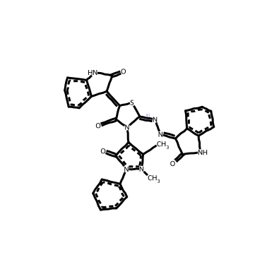 Cc1c(N2C(=O)C(=C3C(=O)Nc4ccccc43)S/C2=N/N=C2C(=O)Nc3ccccc32)c(=O)n(-c2ccccc2)n1C